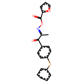 C/C(=N\OC(=O)c1ccco1)C(=O)c1ccc(Sc2ccccc2)cc1